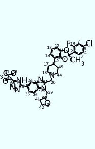 CC1(c2ccc(Cl)cc2F)Oc2cccc(C3CCN(Cc4nc5cc(-c6nnc(S(C)(=O)=O)[nH]6)ccc5n4C[C@@H]4CCO4)CC3)c2O1